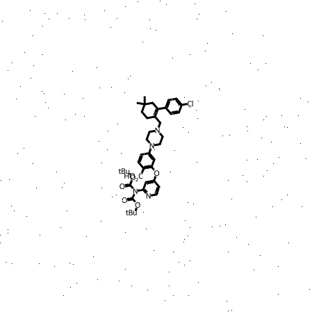 CC1(C)CCC(CN2CCN(c3ccc(C(=O)O)c(Oc4ccnc(N(C(=O)OC(C)(C)C)C(=O)OC(C)(C)C)c4)c3)CC2)=C(c2ccc(Cl)cc2)C1